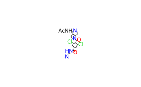 CC(=O)Nc1nccc2c1ccn2C(=O)c1c(Cl)cc(C(=O)NCCN(C)C)cc1Cl